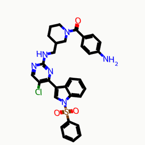 Nc1ccc(C(=O)N2CCCC(CNc3ncc(Cl)c(-c4cn(S(=O)(=O)c5ccccc5)c5ccccc45)n3)C2)cc1